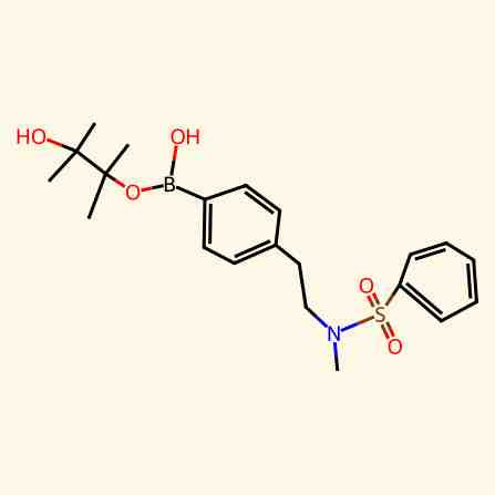 CN(CCc1ccc(B(O)OC(C)(C)C(C)(C)O)cc1)S(=O)(=O)c1ccccc1